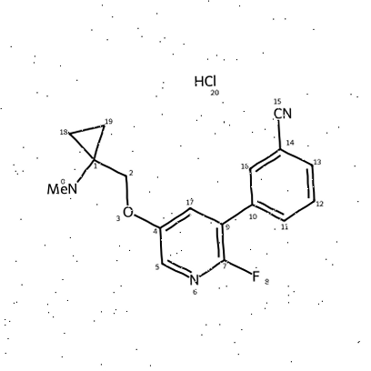 CNC1(COc2cnc(F)c(-c3cccc(C#N)c3)c2)CC1.Cl